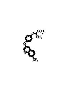 CC(Oc1ccc(Oc2cnc3cc(C(F)(F)F)ccc3c2)cc1)C(=O)O